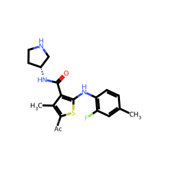 CC(=O)c1sc(Nc2ccc(C)cc2F)c(C(=O)N[C@@H]2CCNC2)c1C